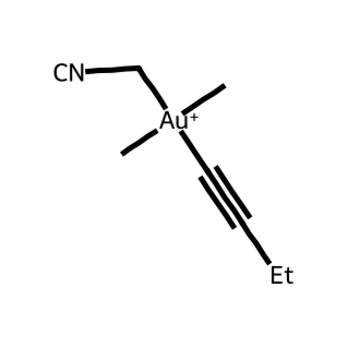 [C-]#[N+][CH2][Au+]([CH3])([CH3])[C]#CCC